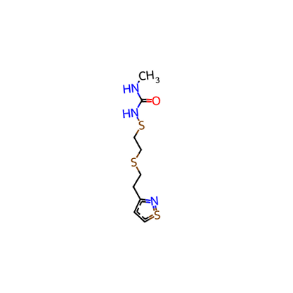 CNC(=O)NSCCSCCc1ccsn1